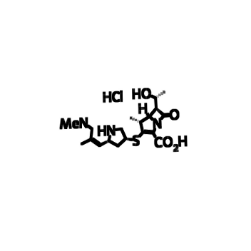 CNC/C(C)=C\[C@@H]1C[C@H](SC2=C(C(=O)O)N3C(=O)[C@H]([C@@H](C)O)[C@H]3[C@H]2C)CN1.Cl